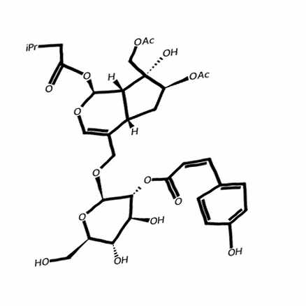 CC(=O)OC[C@]1(O)[C@H]2[C@H](OC(=O)CC(C)C)OC=C(CO[C@@H]3O[C@H](CO)[C@@H](O)[C@H](O)[C@H]3OC(=O)/C=C\c3ccc(O)cc3)[C@H]2C[C@@H]1OC(C)=O